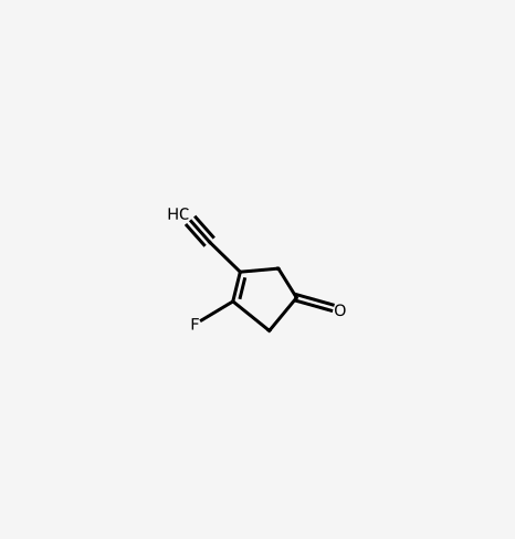 C#CC1=C(F)CC(=O)C1